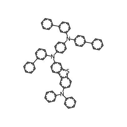 c1ccc(-c2ccc(N(c3ccc(N(c4cccc(-c5ccccc5)c4)c4ccc5c(c4)sc4ccc(N(c6ccccc6)c6ccccc6)cc45)cc3)c3cccc(-c4ccccc4)c3)cc2)cc1